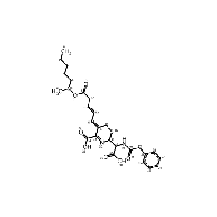 CCCCCN(C)OC(=O)C/C=C/C=C1\CSC(C(NC(=O)Cc2ccccc2)C(=O)O)N=C1C(=O)O